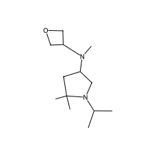 CC(C)N1CC(N(C)C2COC2)CC1(C)C